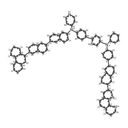 c1ccc(N(c2ccc(-c3ccc4cc(-c5cnc6c(ccc7cccnc76)c5)ccc4c3)cc2)c2ccc(-c3ccc(N(c4ccncc4)c4ccc5cc(-c6ccc7cc(-c8cc9ccccc9c9ccccc89)ccc7c6)ccc5c4)cc3)nc2)cc1